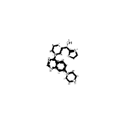 O[C@H](C1=NCCS1)[C@H]1CCCN(c2ncnc3cc(N4CCOCC4)ccc23)C1